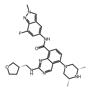 C[C@@H]1CN(c2ccc(C(=O)Nc3cc(F)c4nn(C)cc4c3)c3nc(NC[C@@H]4CCOC4)ncc23)C[C@H](C)N1